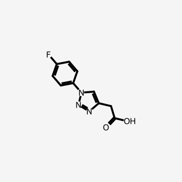 O=C(O)Cc1cn(-c2ccc(F)cc2)nn1